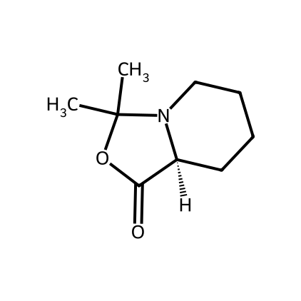 CC1(C)OC(=O)[C@@H]2CCCCN21